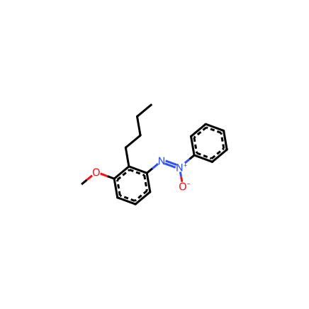 CCCCc1c(N=[N+]([O-])c2ccccc2)cccc1OC